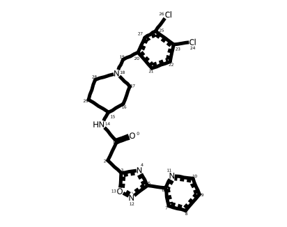 O=C(Cc1nc(-c2ccccn2)no1)NC1CCN(Cc2ccc(Cl)c(Cl)c2)CC1